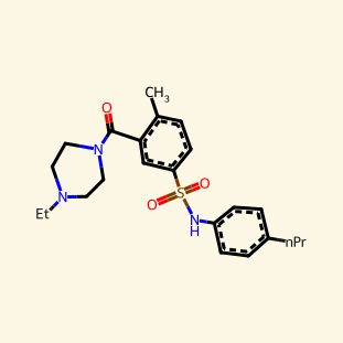 CCCc1ccc(NS(=O)(=O)c2ccc(C)c(C(=O)N3CCN(CC)CC3)c2)cc1